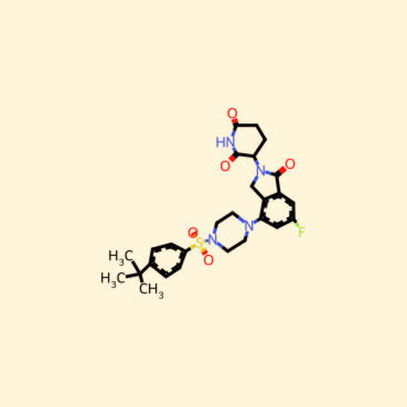 CC(C)(C)c1ccc(S(=O)(=O)N2CCN(c3cc(F)cc4c3CN(C3CCC(=O)NC3=O)C4=O)CC2)cc1